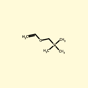 C=COC[Si](C)(C)C